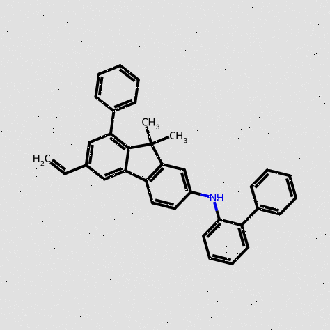 C=Cc1cc(-c2ccccc2)c2c(c1)-c1ccc(Nc3ccccc3-c3ccccc3)cc1C2(C)C